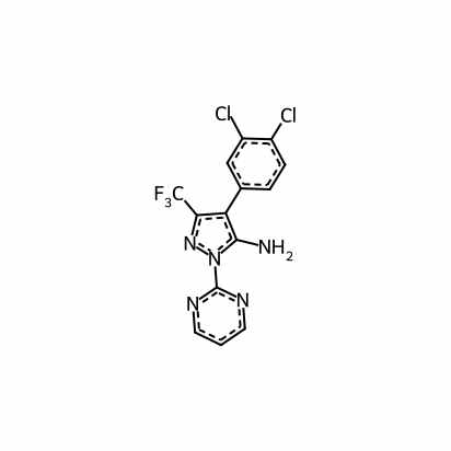 Nc1c(-c2ccc(Cl)c(Cl)c2)c(C(F)(F)F)nn1-c1ncccn1